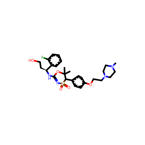 CN1CCN(CCOc2ccc(C3C(C)(C)OC(N[C@@H](CCO)c4ccccc4F)=NS3(=O)=O)cc2)CC1